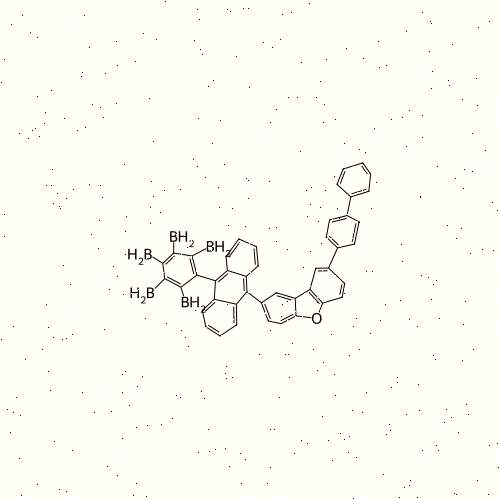 Bc1c(B)c(B)c(-c2c3ccccc3c(-c3ccc4oc5ccc(-c6ccc(-c7ccccc7)cc6)cc5c4c3)c3ccccc23)c(B)c1B